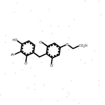 CCOC(=O)COc1cc(Cl)c(Cc2ccc(O)c(C(C)C)c2Cl)c(Cl)c1